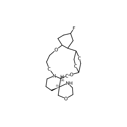 FC1CCC2OCCCN3CCC[C@@]4(COCCN4)[C@@H]3COC3CCC(CC3)C2C1